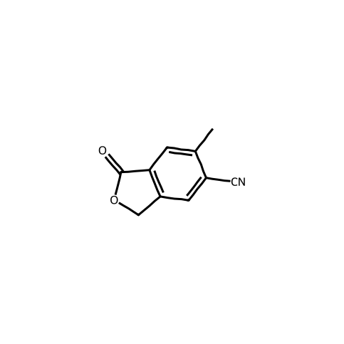 Cc1cc2c(cc1C#N)COC2=O